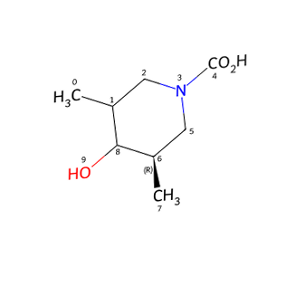 CC1CN(C(=O)O)C[C@@H](C)C1O